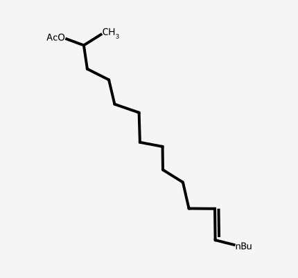 CCCCC=CCCCCCCCCCC(C)OC(C)=O